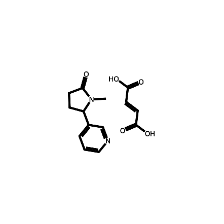 CN1C(=O)CCC1c1cccnc1.O=C(O)C=CC(=O)O